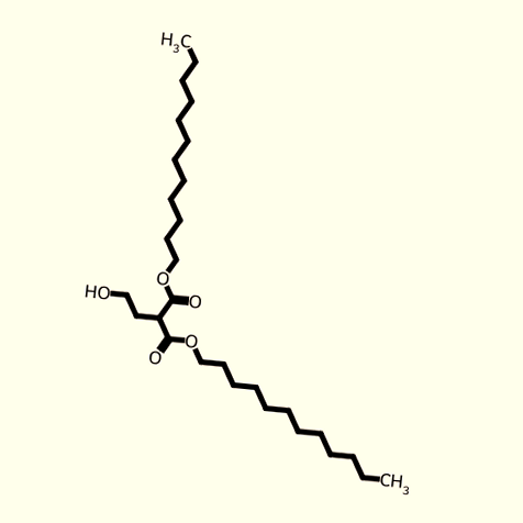 CCCCCCCCCCCCOC(=O)C(CCO)C(=O)OCCCCCCCCCCCC